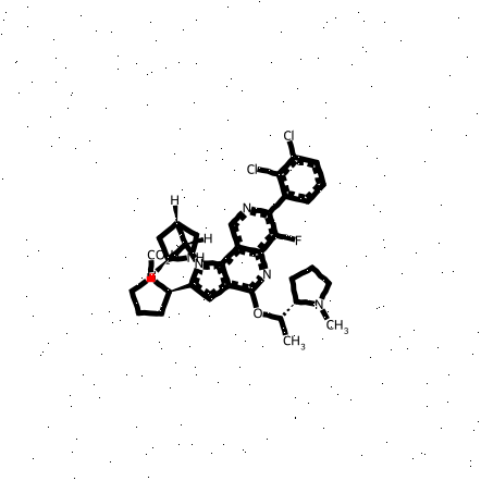 CC(Oc1nc2c(F)c(-c3cccc(Cl)c3Cl)ncc2c2c1cc([C@H]1CCCN1C(=O)O)n2[C@H]1[C@H]2CN[C@@H]1C2)[C@@H]1CCCN1C